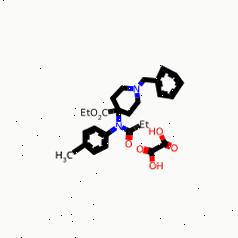 CCOC(=O)C1(N(C(=O)CC)c2ccc(C)cc2)CCN(Cc2ccccc2)CC1.O=C(O)C(=O)O